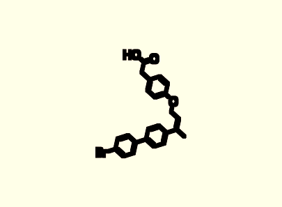 C/C(=C/COc1ccc(CC(=O)O)cc1)c1ccc(-c2ccc(Br)cc2)cc1